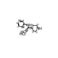 Cl.Cl.O=C(Nc1cnccn1)N1CCNCC1